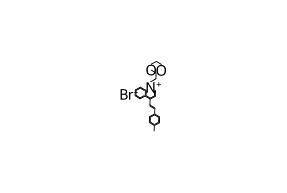 Cc1ccc(C=Cc2cc[n+](CCC3OCCCO3)c3ccccc23)cc1.[Br-]